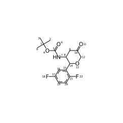 CC(C)(C)OC(=O)NC1CC(=O)COC1c1cc(F)ccc1F